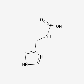 O=C(O)NCc1c[nH]cn1